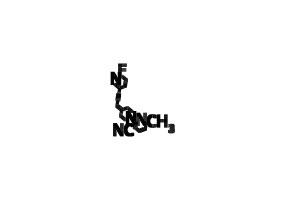 Cc1ccc(C#N)c(N2CCC(=CC#Cc3ccc(F)nc3)CC2)n1